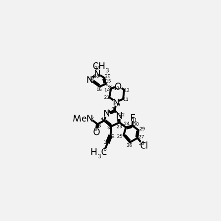 CC#Cc1c(C(=O)NC)nc(N2CCO[C@@H](c3cnn(C)c3)C2)nc1-c1ccc(Cl)cc1F